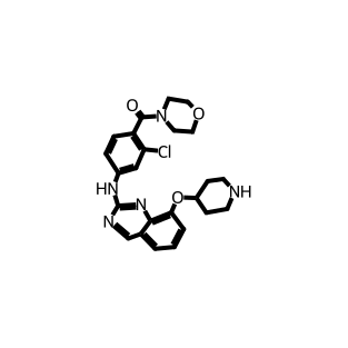 O=C(c1ccc(Nc2ncc3cccc(OC4CCNCC4)c3n2)cc1Cl)N1CCOCC1